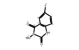 CC(C)(C)n1c(=O)[nH]c2ccc(F)cc2c1=O